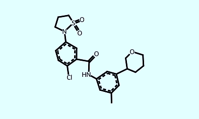 Cc1cc(NC(=O)c2cc(N3CCCS3(=O)=O)ccc2Cl)cc(C2CCCOC2)c1